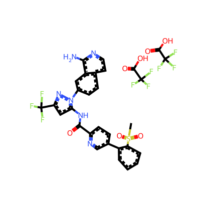 CS(=O)(=O)c1ccccc1-c1ccc(C(=O)Nc2cc(C(F)(F)F)nn2-c2ccc3ccnc(N)c3c2)nc1.O=C(O)C(F)(F)F.O=C(O)C(F)(F)F